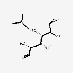 C[S+](C)[O-].O=C[C@H](O)[C@@H](O)[C@H](O)[C@H](O)CO